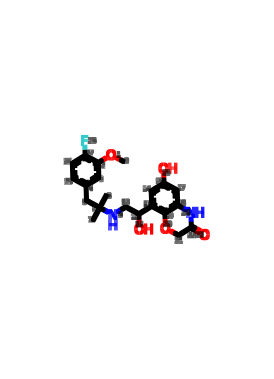 COc1cc(CC(C)(C)NCC(O)c2cc(O)cc3c2OCC(=O)N3)ccc1F